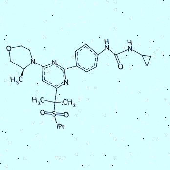 CC(C)S(=O)(=O)C(C)(C)c1cc(N2CCOC[C@@H]2C)nc(-c2ccc(NC(=O)NC3CC3)cc2)n1